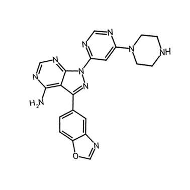 Nc1ncnc2c1c(-c1ccc3ocnc3c1)nn2-c1cc(N2CCNCC2)ncn1